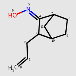 C=CCC1/C(=N\O)C2CCC1C2